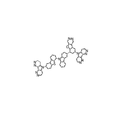 c1cc(-n2c3ccccc3c3cc(-c4cc(-n5c6ccnnc6c6nnccc65)cc5c4oc4cnncc45)ccc32)c2sc3ccc(-n4c5c(c6nnccc64)N=NCC5)cc3c2c1